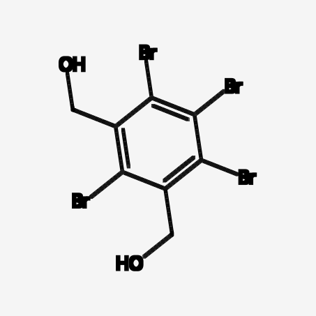 OCc1c(Br)c(Br)c(Br)c(CO)c1Br